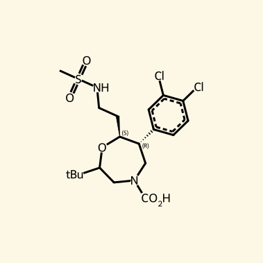 CC(C)(C)C1CN(C(=O)O)C[C@@H](c2ccc(Cl)c(Cl)c2)[C@H](CCNS(C)(=O)=O)O1